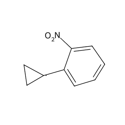 O=[N+]([O-])c1ccccc1[C]1CC1